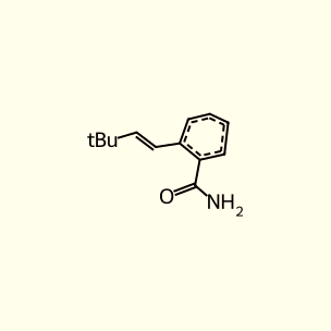 CC(C)(C)C=Cc1ccccc1C(N)=O